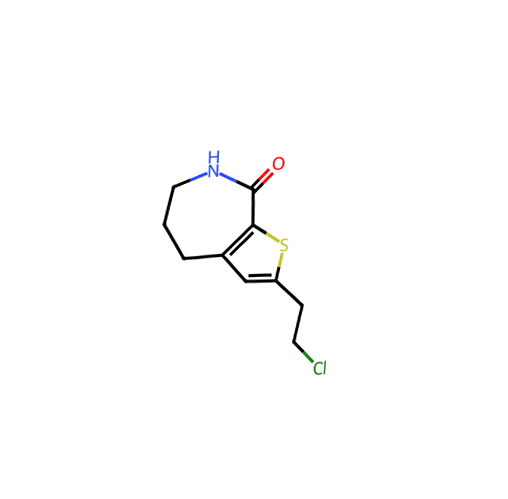 O=C1NCCCc2cc(CCCl)sc21